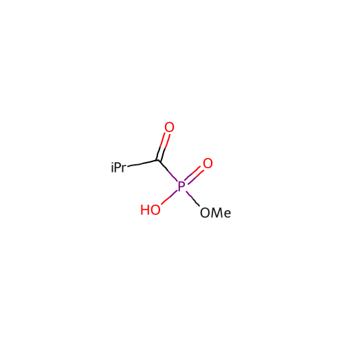 COP(=O)(O)C(=O)C(C)C